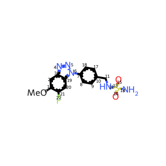 COc1cc2nnn(-c3ccc(CNS(N)(=O)=O)cc3)c2cc1F